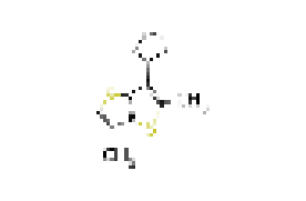 Cc1sc2c(C)csc2c1C1CCCC1